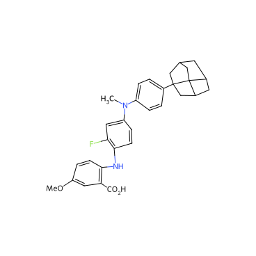 COc1ccc(Nc2ccc(N(C)c3ccc(C45CC6CC7CC(C4)C75C6)cc3)cc2F)c(C(=O)O)c1